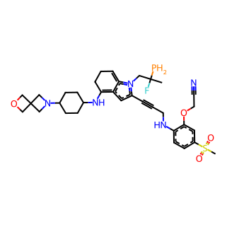 CC(F)(P)Cn1c(C#CCNc2ccc(S(C)(=O)=O)cc2OCC#N)cc2c1=CCCC=2NC1CCC(N2CC3(COC3)C2)CC1